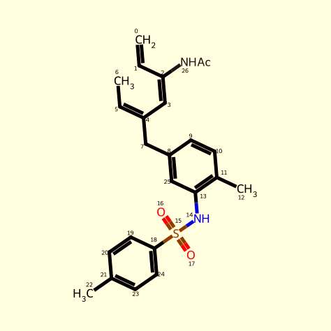 C=C/C(=C\C(=C/C)Cc1ccc(C)c(NS(=O)(=O)c2ccc(C)cc2)c1)NC(C)=O